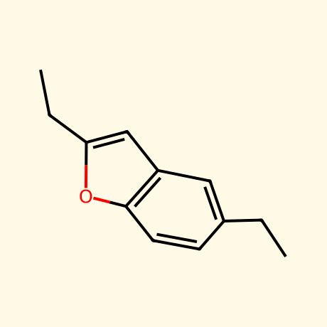 CCc1ccc2oc(CC)cc2c1